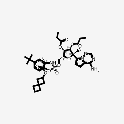 CCC(=O)O[C@H]1[C@@H](OC(=O)CC)[C@](C#N)(c2ccc3c(N)ncnn23)O[C@@H]1COP(=O)(N[C@@H](C)C(=O)OC1CC2(CCC2)C1)Oc1ccc(C(C)(C)C)cc1